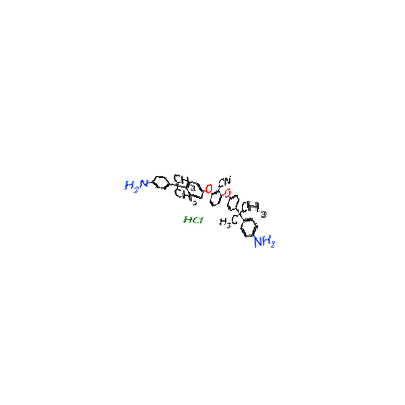 CC(C)(c1ccc(N)cc1)c1ccc(Oc2cccc(Oc3ccc(C(C)(C)c4ccc(N)cc4)cc3)c2C#N)cc1.Cl